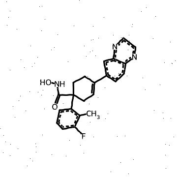 Cc1c(F)cccc1C1(C(=O)NO)CC=C(c2ccc3nccnc3c2)CC1